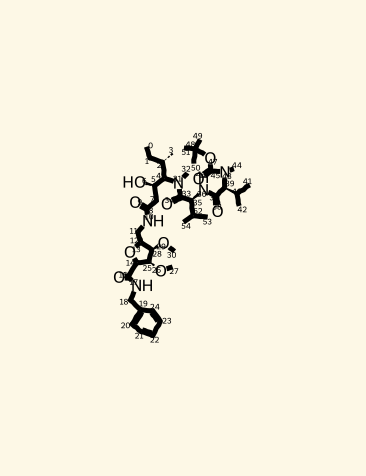 CC[C@H](C)C([C@H](O)CC(=O)NCC1OC(C(=O)NCc2ccccc2)[C@@H](OC)[C@@H]1OC)N(C)C(=O)[C@@H](NC(=O)[C@H](C(C)C)N(C)C(=O)OC(C)(C)C)C(C)C